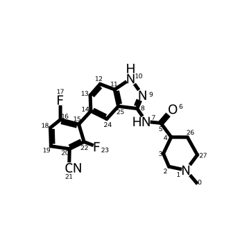 CN1CCC(C(=O)Nc2n[nH]c3ccc(-c4c(F)ccc(C#N)c4F)cc23)CC1